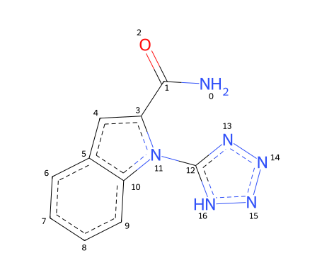 NC(=O)c1cc2ccccc2n1-c1nnn[nH]1